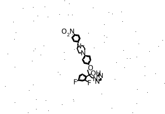 O=[N+]([O-])c1ccc(N2CCN(c3ccc(OCC(O)(Cn4cncn4)c4ccc(F)cc4F)cc3)CC2)cc1